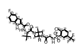 CC(C)(C)[C@H](NC(=O)c1cc2cc(F)ccc2[nH]1)C(=O)N1C[C@H]2N(C(=O)CNS(=O)(=O)c3cc(C(F)(F)F)ccc3Cl)CC21C